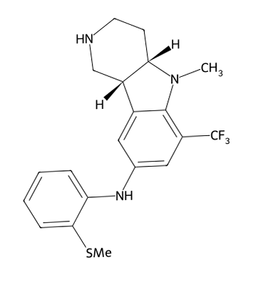 CSc1ccccc1Nc1cc2c(c(C(F)(F)F)c1)N(C)[C@H]1CCNC[C@@H]21